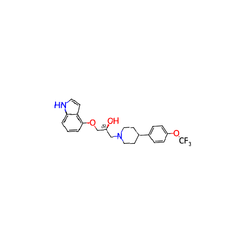 O[C@H](COc1cccc2[nH]ccc12)CN1CCC(c2ccc(OC(F)(F)F)cc2)CC1